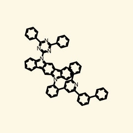 c1ccc(-c2cccc(-c3cc(-c4ccccc4-n4c5ccccc5c5cc6c(cc54)c4ccccc4n6-c4nc(-c5ccccc5)nc(-c5ccccc5)n4)cc(-c4ccccc4)n3)c2)cc1